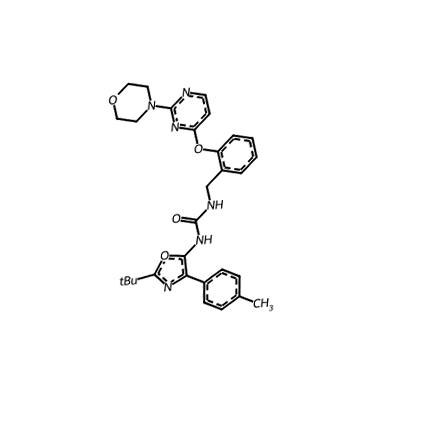 Cc1ccc(-c2nc(C(C)(C)C)oc2NC(=O)NCc2ccccc2Oc2ccnc(N3CCOCC3)n2)cc1